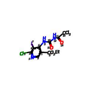 CCOC(=O)c1cnc(Cl)c(I)c1NC(=O)NC(=O)C(Cl)(Cl)Cl